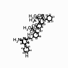 CC(C)(C)OC(=O)N(CC1(CN(C(=O)OC(C)(C)C)C2CCCCC2)CC1)C[C@H]1CC[C@H](CNc2nc(N)cc(N3CCNCC3)n2)CC1